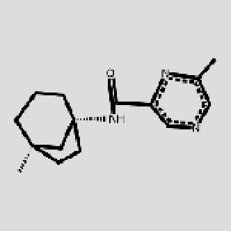 Cc1cncc(C(=O)N[C@]23CCC[C@](C)(CC2)C3)n1